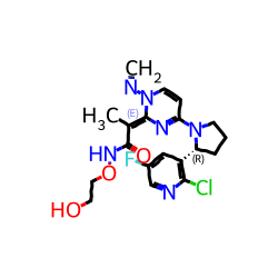 C=NN1C=CC(N2CCC[C@@H]2c2cc(F)cnc2Cl)=N/C1=C(/C)C(=O)NOCCO